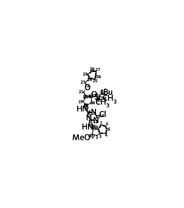 CO[C@H]1Cc2ccccc2[C@H]1Nc1nc(Cl)nc(N[C@@H]2C[C@@H](COCc3ccccc3)[C@@H](O[Si](C)(C)C(C)(C)C)C2)n1